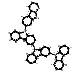 c1cnc2sc3cc(-n4c5ccccc5c5cc(-n6c7ccccc7c7cc(-n8c9ccccc9c9ccccc98)ccc76)ccc54)ccc3c2c1